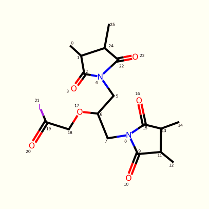 CC1C(=O)N(CC(CN2C(=O)C(C)C(C)C2=O)OCC(=O)I)C(=O)C1C